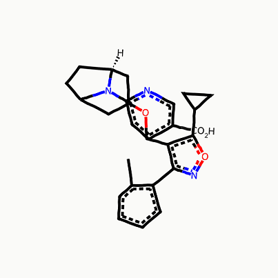 Cc1ccccc1-c1noc(C2CC2)c1COC1CC2CC[C@@H](C1)N2c1ccc(C(=O)O)cn1